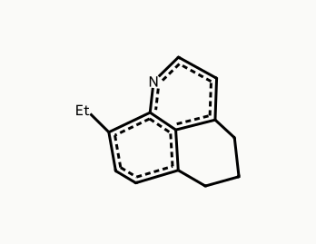 CCc1ccc2c3c(ccnc13)CCC2